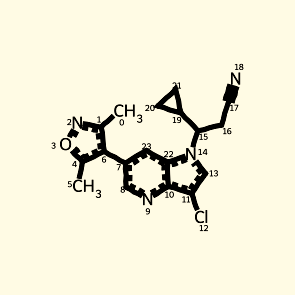 Cc1noc(C)c1-c1cnc2c(Cl)cn(C(CC#N)C3CC3)c2c1